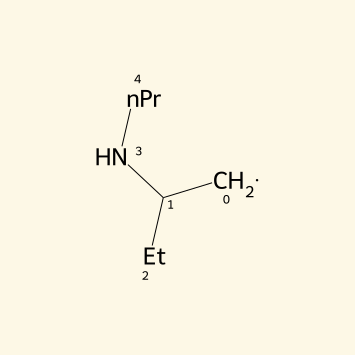 [CH2]C(CC)NCCC